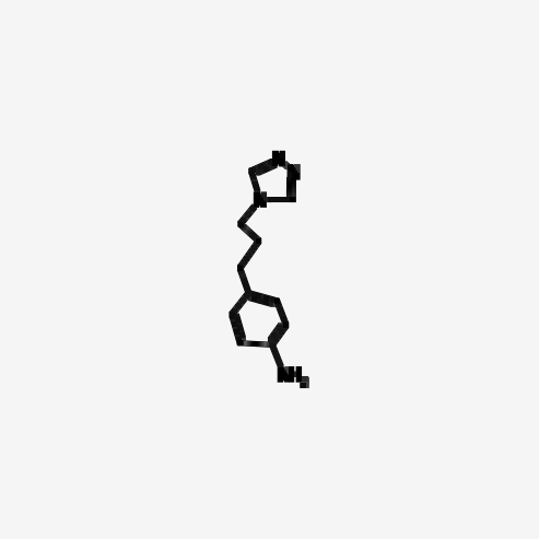 Nc1ccc(CCCn2cnnc2)cc1